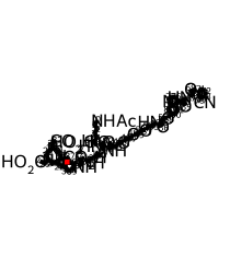 CC(=O)NCCCC[C@H](NC(=O)[C@H](CCCCNC(=S)Nc1ccc(CC2CN(CC(=O)O)CCN(CC(=O)O)CCN2CC(=O)O)cc1)NC(=O)CCOCCOCCOCCNC(=O)COc1ccc2c(C(=O)NCC(=O)N3CCC[C@H]3C#N)ccnc2c1)C(=O)O